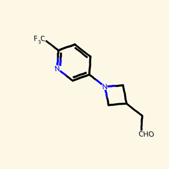 O=CCC1CN(c2ccc(C(F)(F)F)nc2)C1